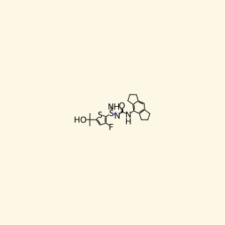 CC(C)(O)c1cc(F)c(/S(N)=N/C(=O)Nc2c3c(cc4c2CCC4)CCC3)s1